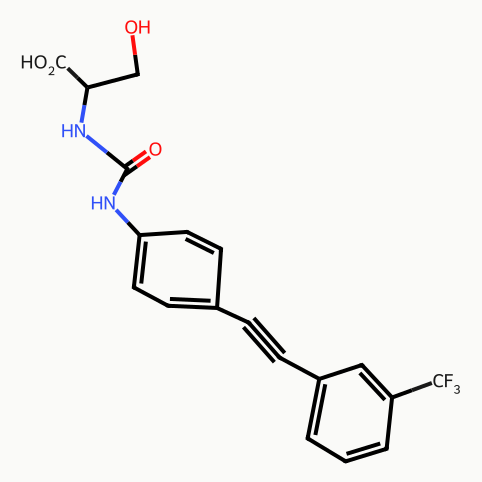 O=C(Nc1ccc(C#Cc2cccc(C(F)(F)F)c2)cc1)NC(CO)C(=O)O